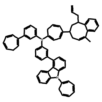 C=CCC1CC(C2=CC=C(N(c3cccc(C4=CCC=CC=C4)c3)c3cccc(-c4cccc5c4c4ccccc4n5C4=CC=CC=CC4)c3)CC=C2)C/C=C(/C)c2ccccc21